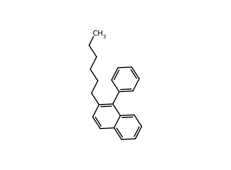 CCCCCCc1ccc2ccccc2c1-c1ccccc1